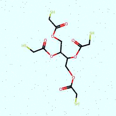 O=C(CS)OCC(OC(=O)CS)C(COC(=O)CS)OC(=O)CS